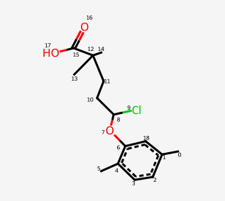 Cc1ccc(C)c(OC(Cl)CCC(C)(C)C(=O)O)c1